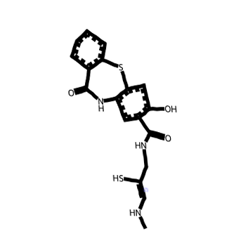 CN/C=C(\S)CNC(=O)c1cc2c(cc1O)Sc1ccccc1C(=O)N2